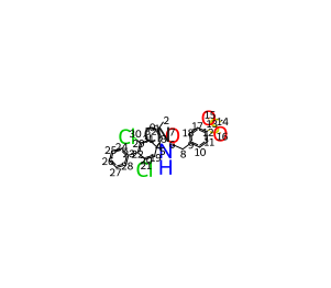 CC(C)=CC1(NC(=O)Cc2ccc(S(C)(=O)=O)cc2)C=C(Cl)C(c2ccccc2)=C(Cl)C1C#N